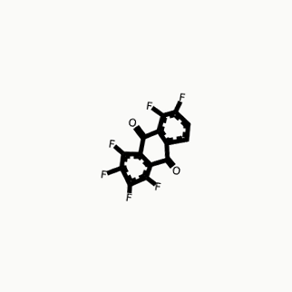 O=C1c2ccc(F)c(F)c2C(=O)c2c(F)c(F)c(F)c(F)c21